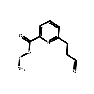 NSOC(=O)c1cccc(CCC=O)n1